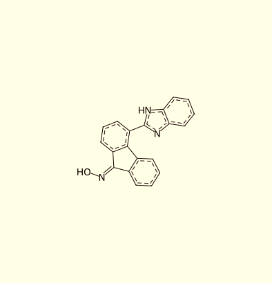 O/N=C1/c2ccccc2-c2c1cccc2-c1nc2ccccc2[nH]1